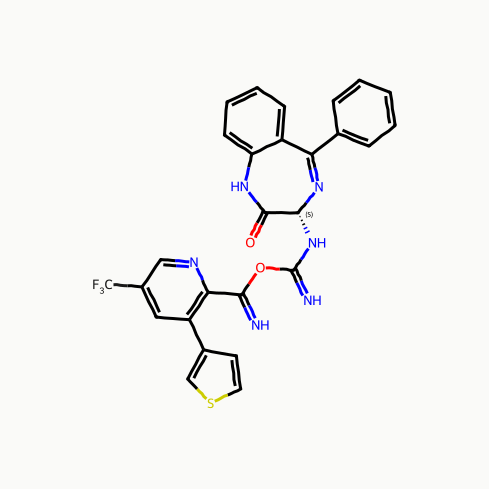 N=C(N[C@H]1N=C(c2ccccc2)c2ccccc2NC1=O)OC(=N)c1ncc(C(F)(F)F)cc1-c1ccsc1